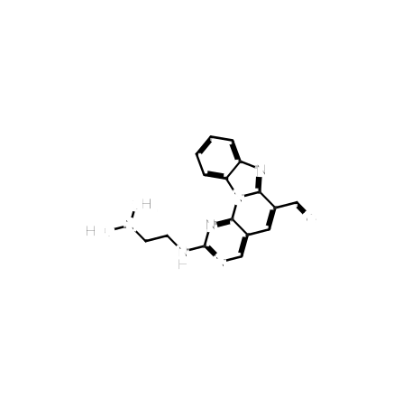 CN(C)CCNc1ncc2cc(C=O)c3nc4ccccc4n3c2n1